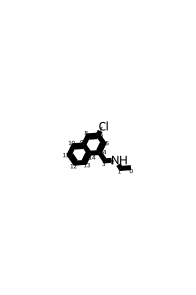 CCNCc1cc(Cl)cc2ccccc12